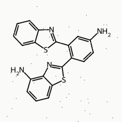 Nc1ccc(-c2nc3c(N)cccc3s2)c(-c2nc3ccccc3s2)c1